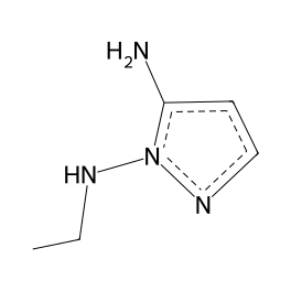 CCNn1nccc1N